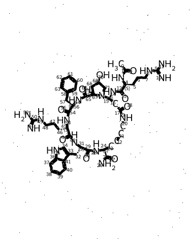 CC(=O)N[C@@H](CCCNC(=N)N)C(=O)N[C@H]1CC(=O)NCCCC[C@@H](C(N)=O)NC(=O)[C@H](Cc2c[nH]c3ccccc23)NC(=O)[C@H](CCCNC(=N)N)NC(=O)[C@@H](Cc2ccccc2)NC(=O)[C@@H]2C[C@@H](O)CN12